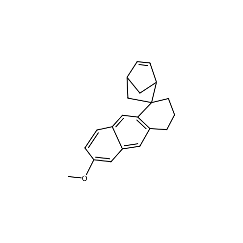 COc1ccc2cc3c(cc2c1)CCCC31CC2C=CC1C2